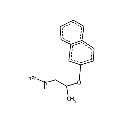 CCCNCC(C)Oc1ccc2ccccc2c1